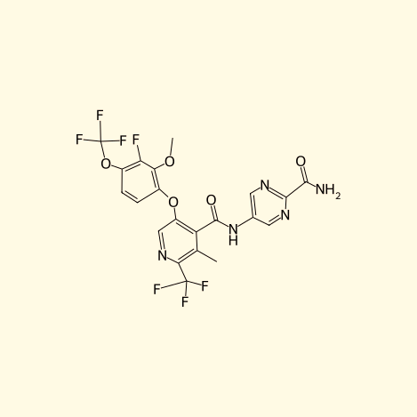 COc1c(Oc2cnc(C(F)(F)F)c(C)c2C(=O)Nc2cnc(C(N)=O)nc2)ccc(OC(F)(F)F)c1F